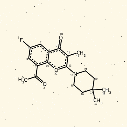 CC(=O)c1cc(F)cc2c(=O)c(C)c(N3CCC(C)(C)CC3)oc12